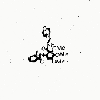 COc1cc(NC(=O)c2ccccc2F)c(C(=O)NCCN2CCOCC2)c(OC)c1OC